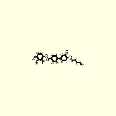 C=CCCCOc1ccc(-c2ccc(COc3ccc(C)c(F)c3F)cc2)cc1F